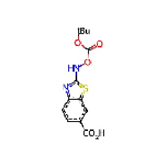 CC(C)(C)OC(=O)ONc1nc2ccc(C(=O)O)cc2s1